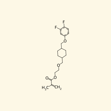 C=C(C)C(=O)OCCOCC1CCC(COc2ccc(F)c(F)c2)CC1